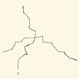 CCCCCCC[P+](CCCCC)(CCCCC)CCCCC.[I-]